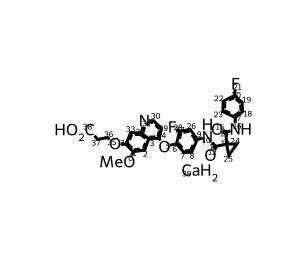 COc1cc2c(Oc3ccc(NC(=O)C4(C(=O)Nc5ccc(F)cc5)CC4)cc3F)ccnc2cc1OCCC(=O)O.[CaH2]